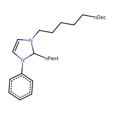 CCCCCCCCCCCCCCCN1C=CN(c2ccccc2)C1CCCCC